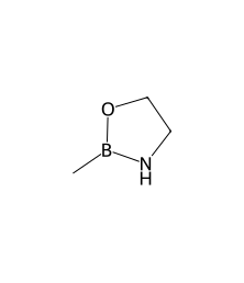 CB1NCCO1